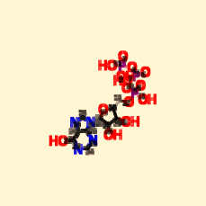 O=P(O)(O)OP(=O)(O)OP(=O)(O)OC[C@H]1O[C@@H](n2cnc3c(O)ncnc32)[C@H](O)[C@@H]1O